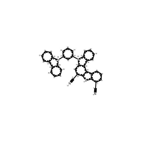 N#Cc1cccc2c1sc1c(C#N)cc3c(c4ccccc4n3-c3cccc(-n4c5ccccc5c5ccccc54)c3)c12